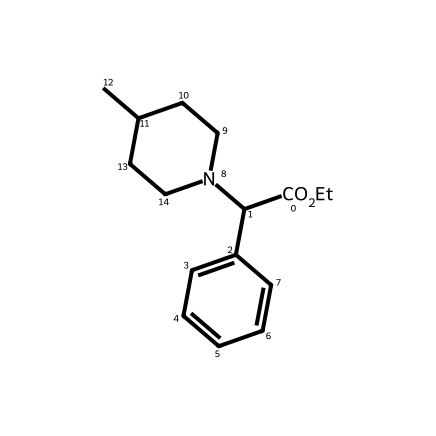 CCOC(=O)C(c1ccccc1)N1CCC(C)CC1